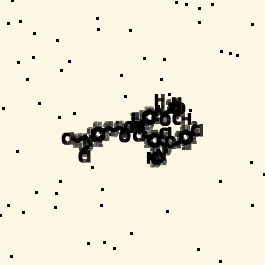 Cc1oncc1C(=O)Nc1ccc(C(F)(F)F)cc1.Clc1ccc(COC(Cn2ccnc2)c2ccc(Cl)cc2Cl)cc1.O=C(O)CCCc1ccc(N(CCCl)CCCl)cc1